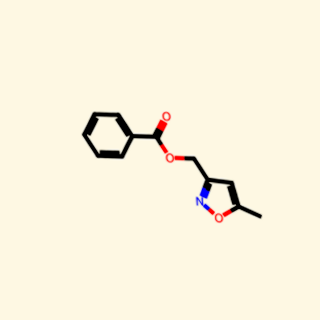 Cc1cc(COC(=O)c2ccccc2)no1